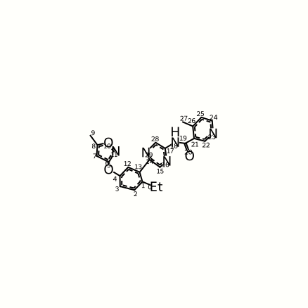 CCc1ccc(Oc2cc(C)on2)cc1-c1cnc(NC(=O)c2cnccc2C)cn1